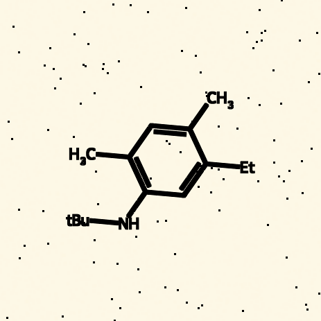 CCc1cc(NC(C)(C)C)c(C)cc1C